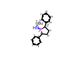 CCCCNP1C(c2ccccc2)CCC1c1ccccc1